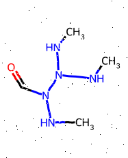 CNN(C=O)N(NC)NC